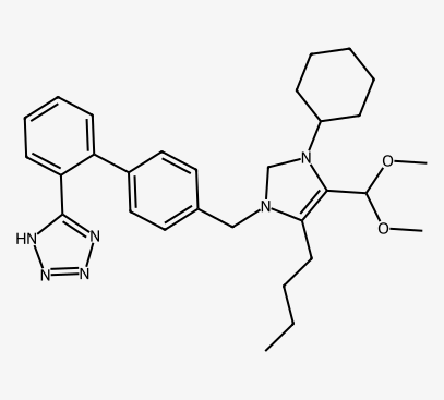 CCCCC1=C(C(OC)OC)N(C2CCCCC2)CN1Cc1ccc(-c2ccccc2-c2nnn[nH]2)cc1